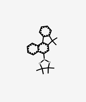 CC1(C)c2ccccc2-c2c1cc(B1OC(C)(C)C(C)(C)O1)c1ccccc21